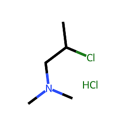 CC(Cl)CN(C)C.Cl